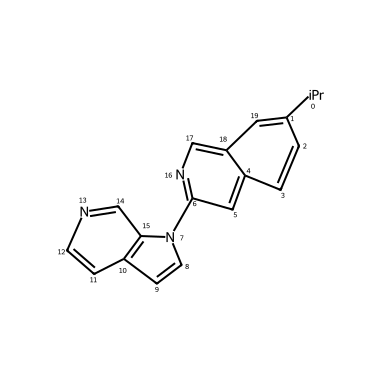 CC(C)c1ccc2cc(-n3ccc4ccncc43)ncc2c1